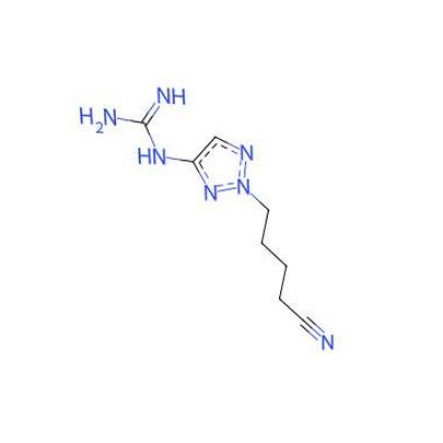 N#CCCCCn1ncc(NC(=N)N)n1